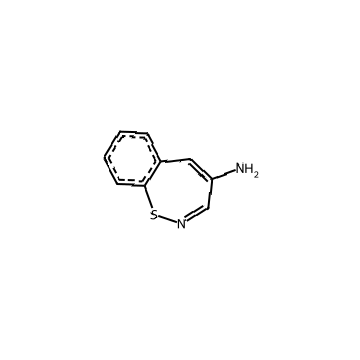 NC1=Cc2ccccc2SN=C1